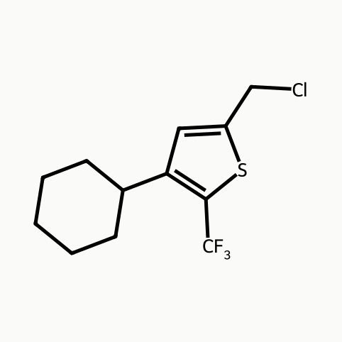 FC(F)(F)c1sc(CCl)cc1C1CCCCC1